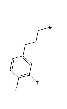 Fc1ccc(CCCBr)cc1F